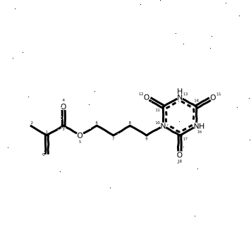 C=C(C)C(=O)OCCCCn1c(=O)[nH]c(=O)[nH]c1=O